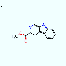 COC(=O)C1CC2=c3ccccc3=NC2=CN1